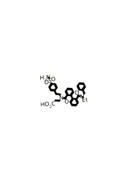 CCN(Cc1ccccc1)C(=O)c1ccccc1-c1ccccc1C(=O)N(CCC(=O)O)CCc1ccc(S(N)(=O)=O)cc1